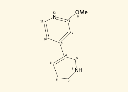 COc1cc(C2=CCCNC2)ccn1